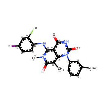 CC(=O)Nc1cccc(-n2c(=O)[nH]c(=O)c3c(Nc4ccc(I)cc4F)n(C)c(=O)c(C)c32)c1